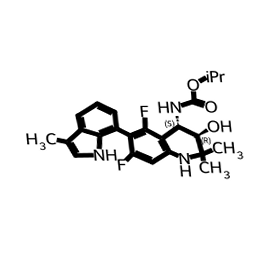 Cc1c[nH]c2c(-c3c(F)cc4c(c3F)[C@H](NC(=O)OC(C)C)[C@@H](O)C(C)(C)N4)cccc12